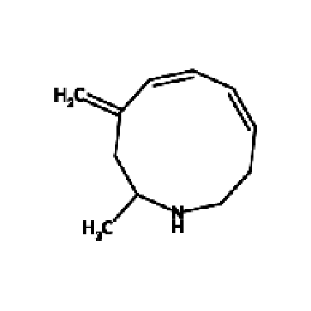 C=C1/C=C\C=C/CCNC(C)C1